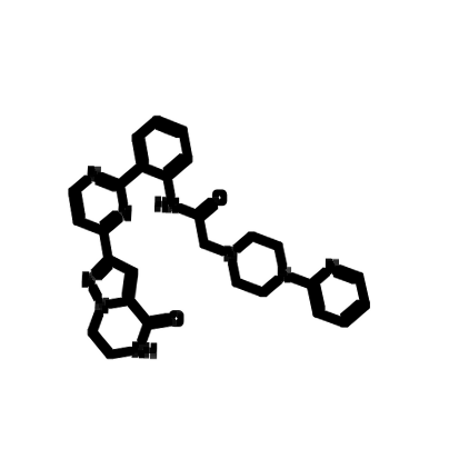 O=C(CN1CCN(c2ccccn2)CC1)Nc1ccccc1-c1nccc(-c2cc3n(n2)CCNC3=O)n1